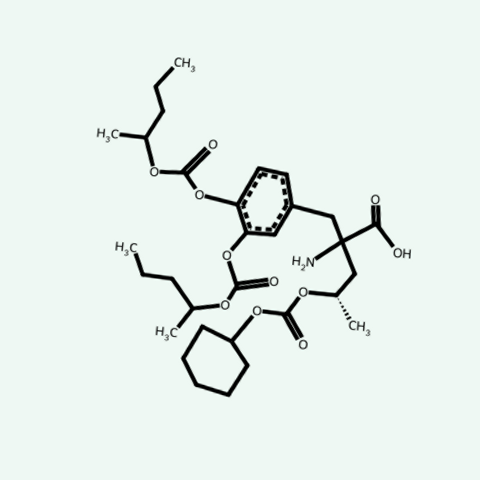 CCCC(C)OC(=O)Oc1ccc(CC(N)(C[C@H](C)OC(=O)OC2CCCCC2)C(=O)O)cc1OC(=O)OC(C)CCC